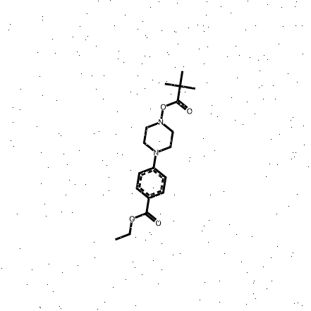 CCOC(=O)c1ccc(N2CCN(OC(=O)C(C)(C)C)CC2)cc1